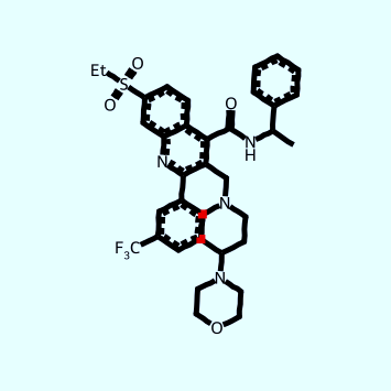 CCS(=O)(=O)c1ccc2c(C(=O)NC(C)c3ccccc3)c(CN3CCC(N4CCOCC4)CC3)c(-c3cccc(C(F)(F)F)c3)nc2c1